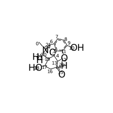 CN1CC[C@]23c4c5ccc(O)c4O[C@H]2C(=O)CC(O)[C@H]3[C@H]1C5